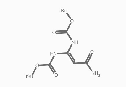 CC(C)(C)OC(=O)NC(=CC(N)=O)NC(=O)OC(C)(C)C